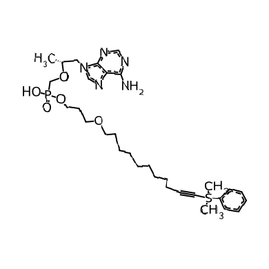 C[C@H](Cn1cnc2c(N)ncnc21)OCP(=O)(O)OCCCOCCCCCCCCCC#CS(C)(C)c1ccccc1